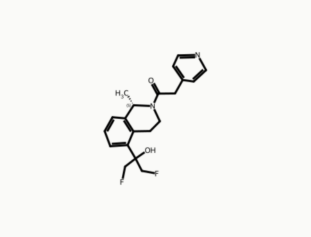 C[C@H]1c2cccc(C(O)(CF)CF)c2CCN1C(=O)Cc1ccncc1